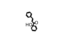 O=C(C=Cc1ccccc1)C1(O)C=CC=CC1